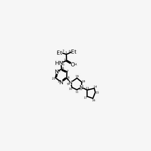 CCC(CC)C(=O)Nc1cc(N2CCN(C3CCCC3)CC2)ncn1